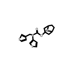 O=C(OC1CC2CCC(C1)N2)N(Cc1ccsc1)c1ccsc1